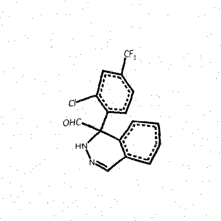 O=CC1(c2ccc(C(F)(F)F)cc2Cl)NN=Cc2ccccc21